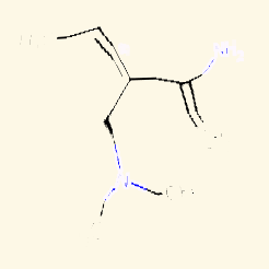 C=C(N)/C(=C/C)CN(C)C